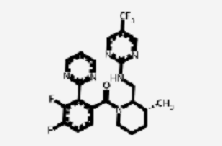 C[C@@H]1CCCN(C(=O)c2ccc(F)c(F)c2-c2ncccn2)C1CNc1ncc(C(F)(F)F)cn1